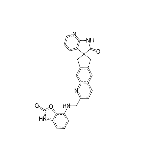 O=C1Nc2ncccc2C12Cc1cc3ccc(CNc4cccc5[nH]c(=O)oc45)nc3cc1C2